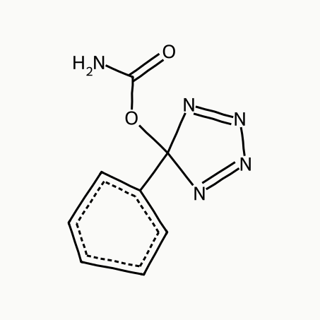 NC(=O)OC1(c2ccccc2)N=NN=N1